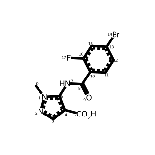 Cn1ncc(C(=O)O)c1NC(=O)c1ccc(Br)cc1F